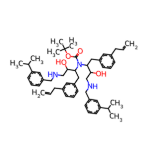 C=CCc1cccc(CC(C(O)CNCc2cccc(C(C)C)c2)N(C(=O)OC(C)(C)C)C(Cc2cccc(CC=C)c2)C(O)CNCc2cccc(C(C)C)c2)c1